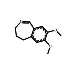 COc1cc2c(cc1OC)CCCN=C2